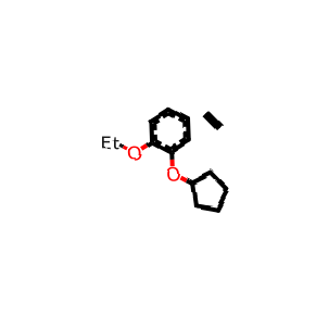 C=C.CCOc1ccccc1OC1CCCC1